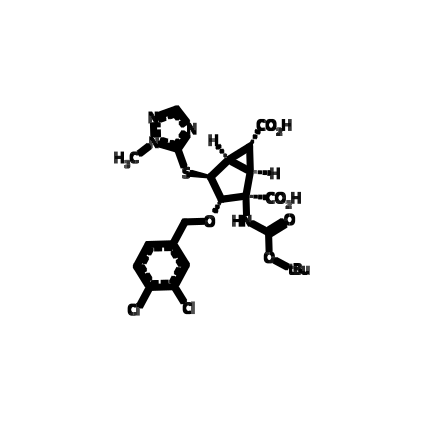 Cn1ncnc1S[C@H]1[C@H]2[C@H](C(=O)O)[C@H]2[C@](NC(=O)OC(C)(C)C)(C(=O)O)[C@@H]1OCc1ccc(Cl)c(Cl)c1